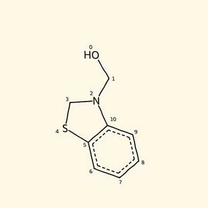 OCN1CSc2ccccc21